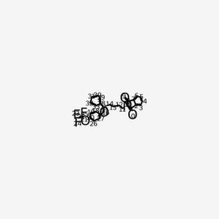 O=C1c2ccccc2C(=O)N1CCCC[C@@H](Oc1ccc(OC(F)(F)F)cc1)c1ccccc1